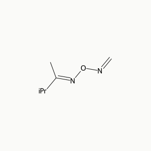 C=NO/N=C(\C)C(C)C